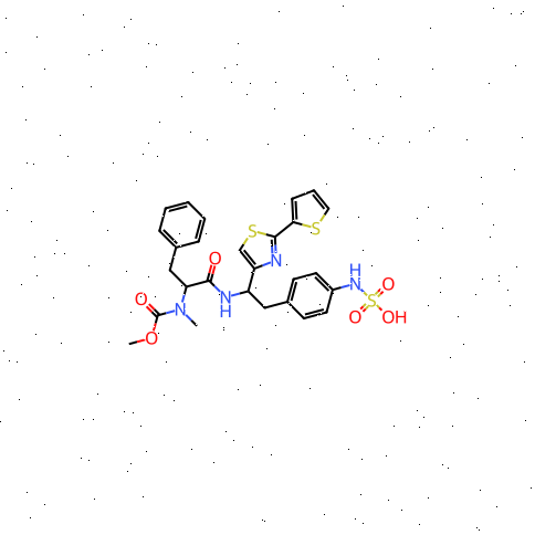 COC(=O)N(C)C(Cc1ccccc1)C(=O)NC(Cc1ccc(NS(=O)(=O)O)cc1)c1csc(-c2cccs2)n1